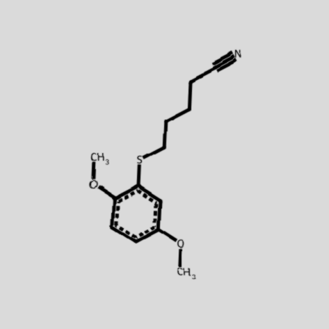 COc1ccc(OC)c(SCCCCC#N)c1